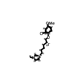 COc1ccc(OCCCCCC[n+]2ccn(C)c2)c(Cl)c1.[I-]